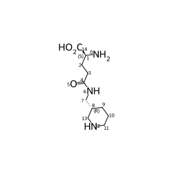 N[C@@H](CCC(=O)NC[C@@H]1CCCNC1)C(=O)O